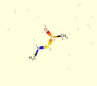 CN=S=P(C)=O